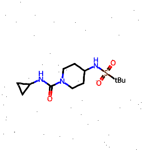 CC(C)(C)S(=O)(=O)NC1CCN(C(=O)NC2CC2)CC1